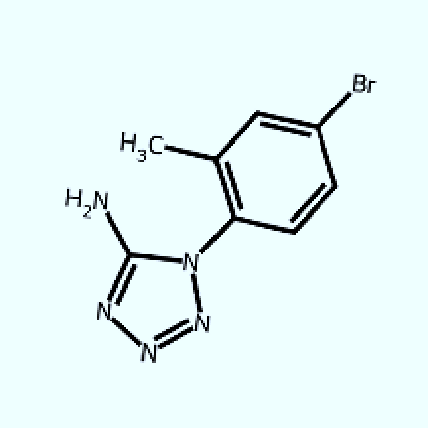 Cc1cc(Br)ccc1-n1nnnc1N